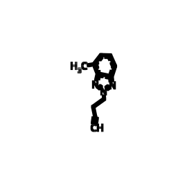 C#CCCn1nc2cccc(C)c2n1